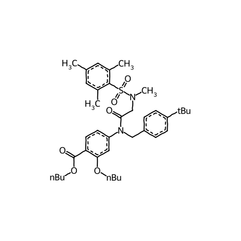 CCCCOC(=O)c1ccc(N(Cc2ccc(C(C)(C)C)cc2)C(=O)CN(C)S(=O)(=O)c2c(C)cc(C)cc2C)cc1OCCCC